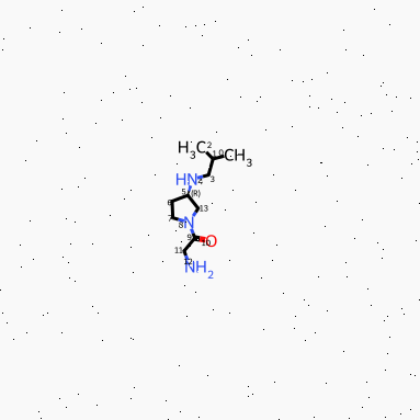 CC(C)CN[C@@H]1CCN(C(=O)CN)C1